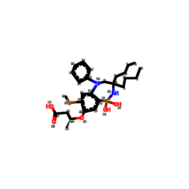 CCCCC1(CCCC)CN(c2ccccc2)c2cc(SC)c(O[C@H](C)CC(=O)O)cc2S(O)(O)N1